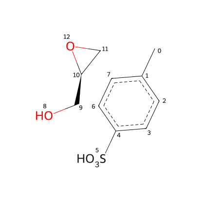 Cc1ccc(S(=O)(=O)O)cc1.OC[C@@H]1CO1